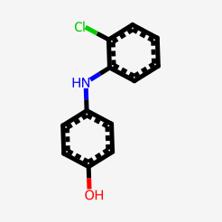 Oc1ccc(Nc2ccccc2Cl)cc1